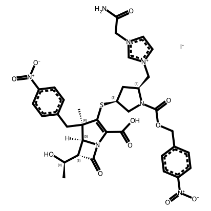 C[C@@H](O)[C@H]1C(=O)N2C(C(=O)O)=C(S[C@H]3C[C@@H](C[n+]4ccn(CC(N)=O)c4)N(C(=O)OCc4ccc([N+](=O)[O-])cc4)C3)[C@](C)(Cc3ccc([N+](=O)[O-])cc3)[C@H]12.[I-]